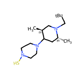 C[C@@H]1CC(N2CCN(S)CC2)[C@@H](C)CN1CC(C)(C)C